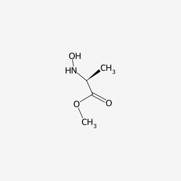 COC(=O)[C@H](C)NO